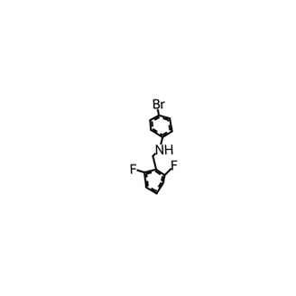 Fc1cccc(F)c1CNc1ccc(Br)cc1